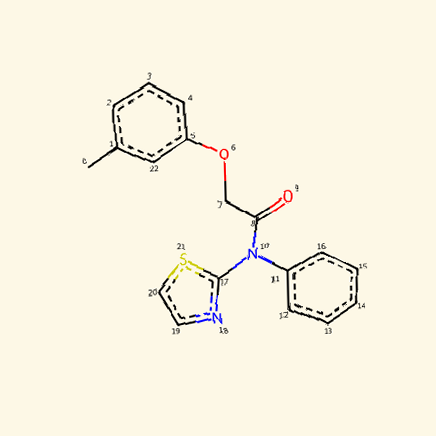 Cc1cccc(OCC(=O)N(c2ccccc2)c2nccs2)c1